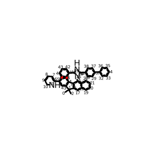 CC1(C)c2cc(C3=CC=CCN3)ccc2-c2c1cc1ccccc1c2[N+]1=C(c2ccc(-c3ccccc3)cc2)NC1c1ccccc1